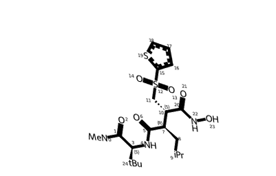 CNC(=O)[C@@H](NC(=O)[C@H](CC(C)C)[C@H](CS(=O)(=O)c1cccs1)C(=O)NO)C(C)(C)C